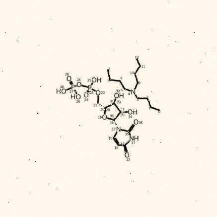 CCCCN(CCCC)CCCC.O=c1ccn([C@@H]2O[C@H](COP(=O)(O)OP(=O)(O)O)[C@@H](O)[C@H]2O)c(=O)[nH]1